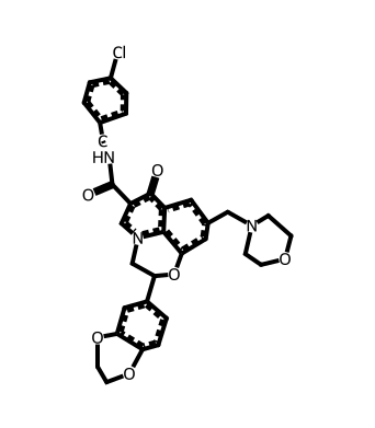 O=C(NCc1ccc(Cl)cc1)c1cn2c3c(cc(CN4CCOCC4)cc3c1=O)OC(c1ccc3c(c1)OCCO3)C2